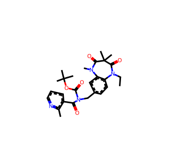 CCN1C(=O)C(C)(C)C(=O)N(C)c2cc(CN(C(=O)OC(C)(C)C)C(=O)c3cccnc3C)ccc21